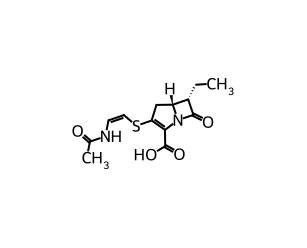 CC[C@@H]1C(=O)N2C(C(=O)O)=C(S/C=C\NC(C)=O)C[C@H]12